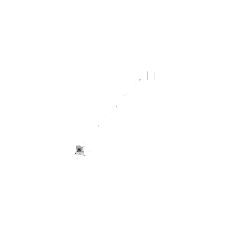 CCC=CCC=CCC=CCC=CCC=CCCCCOS(C)(=O)=O